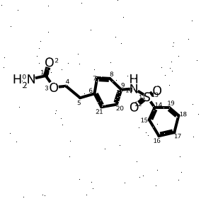 NC(=O)OCCc1ccc(NS(=O)(=O)c2ccccc2)cc1